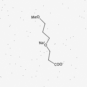 COCCCOCCC(=O)[O-].[Na+]